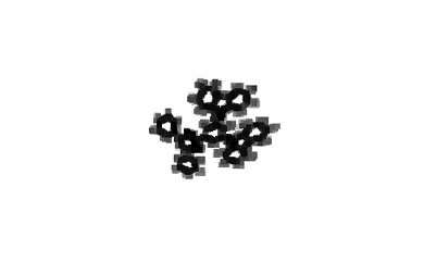 c1ccc(-c2cc(-c3ccccc3)nc(-c3cc(-n4c5ccccc5c5ccccc54)cc(-n4c5ccccc5c5ccccc54)c3)n2)cc1